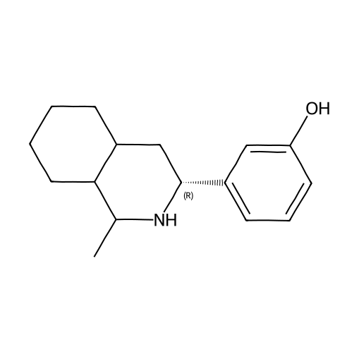 CC1N[C@@H](c2cccc(O)c2)CC2CCCCC21